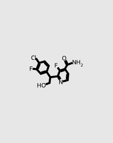 NC(=O)c1ccnc(C(CO)c2ccc(Cl)c(F)c2)c1F